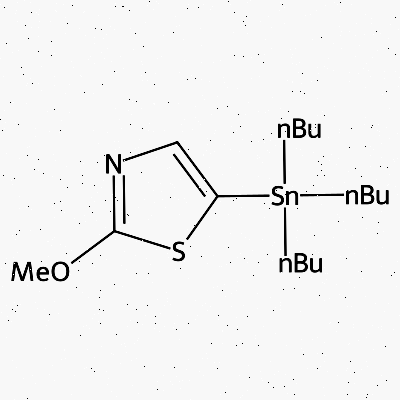 CCC[CH2][Sn]([CH2]CCC)([CH2]CCC)[c]1cnc(OC)s1